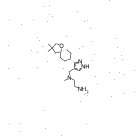 CN(CCN)Cc1c[nH]nc1[C@H]1CC[C@]2(CC1)CC(C)(C)CO2